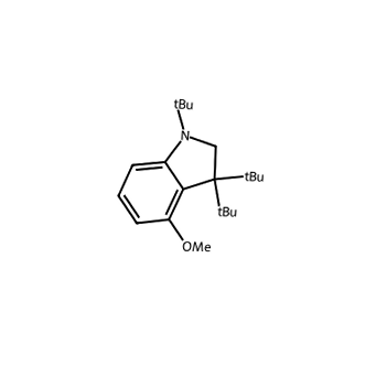 COc1cccc2c1C(C(C)(C)C)(C(C)(C)C)CN2C(C)(C)C